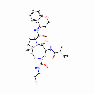 CN[C@@H](C)C(=O)N[C@H]1CN(C(=O)NCCF)CC[C@H]2CC[C@@H](C(=O)N[C@@H]3CCOc4ccccc43)N2C1=O